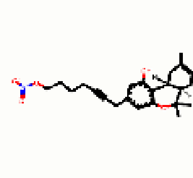 CC1=CC[C@@H]2[C@@H](C1)c1c(O)cc(CC#CCCCCO[N+](=O)[O-])cc1OC2(C)C